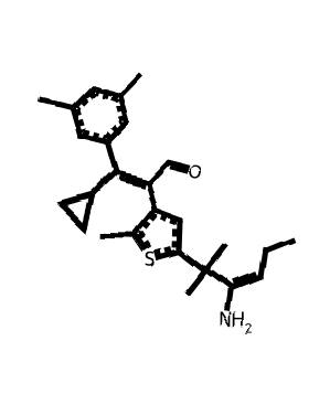 CC/C=C(/N)C(C)(C)c1cc(/C(C=O)=C(/c2cc(C)cc(C)c2)C2CC2)c(C)s1